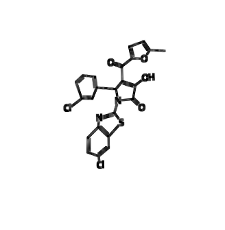 Cc1ccc(C(=O)C2=C(O)C(=O)N(c3nc4ccc(Cl)cc4s3)C2c2cccc(Cl)c2)o1